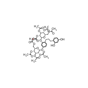 CC(=O)OC[C@H]1OC(Oc2ccc(CCCc3ccc(O)cc3O)c(OC3O[C@H](COC(C)=O)[C@@H](OC(C)=O)[C@H](OC(C)=O)[C@H]3OC(C)=O)c2)[C@H](OC(C)=O)[C@@H](OC(C)=O)[C@@H]1OC(C)=O